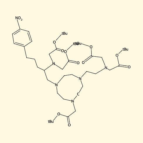 CC(C)(C)OC(=O)CN1CCN(CCN(CC(=O)OC(C)(C)C)CC(=O)OC(C)(C)C)CCN(CC(CCCc2ccc([N+](=O)[O-])cc2)N(CC(=O)OC(C)(C)C)CC(=O)OC(C)(C)C)CC1